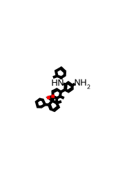 CC1C=CC(c2ccc(N)cc2NC2CC=CCC2C)C(C)C1C1(C)C=CC=C(C2CCCCC2)C12CC2